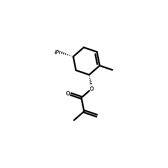 C=C(C)C(=O)O[C@@H]1C[C@H](C(C)C)CC=C1C